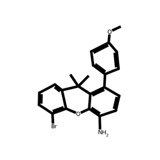 COc1ccc(-c2ccc(N)c3c2C(C)(C)c2cccc(Br)c2O3)cc1